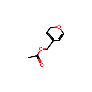 CC(=O)OCC1=CCOC=C1